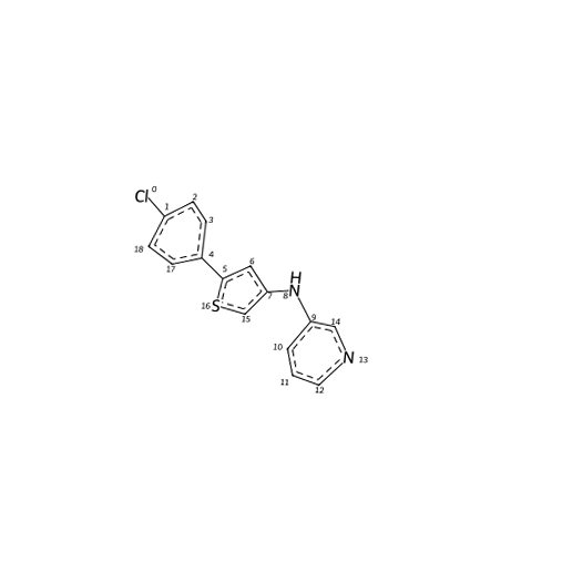 Clc1ccc(-c2cc(Nc3cccnc3)cs2)cc1